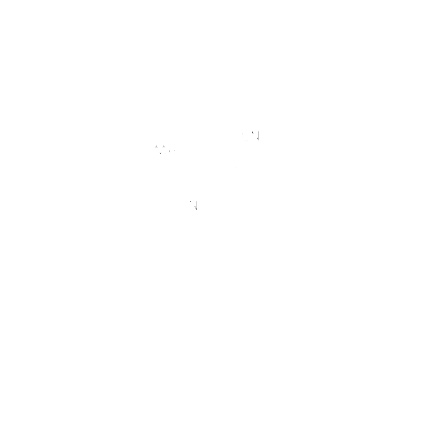 COc1nc2c(cc1C#N)CCCCC2